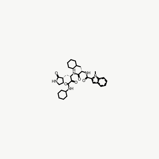 Cn1c(C(=O)N[C@@H](CC2CCCCC2)C(=O)N[C@@H](C[C@@H]2CCNC2=O)C(=O)C(=O)NC2CCCCC2)cc2ccccc21